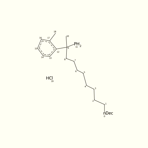 CCCCCCCCCCCCCCCCCCC(C)(P)c1ccccc1C.Cl